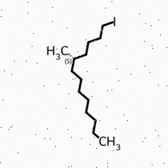 CCCCCCCC[C@H](C)CCCCI